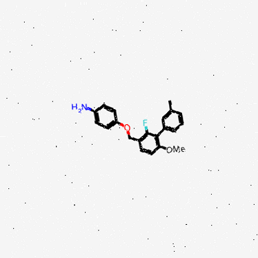 COc1ccc(COc2ccc(N)cc2)c(F)c1-c1cccc(C)c1